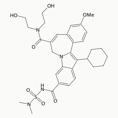 COc1ccc2c(c1)C=C(C(=O)N(CCO)CCO)Cn1c-2c(C2CCCCC2)c2ccc(C(=O)NS(=O)(=O)N(C)C)cc21